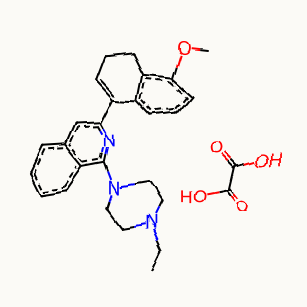 CCN1CCN(c2nc(C3=CCCc4c(OC)cccc43)cc3ccccc23)CC1.O=C(O)C(=O)O